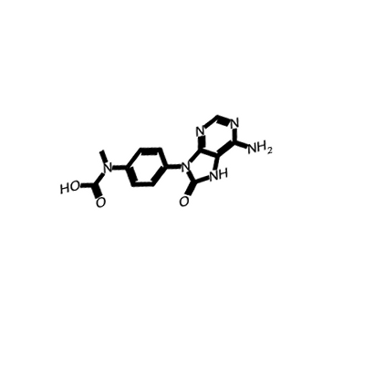 CN(C(=O)O)c1ccc(-n2c(=O)[nH]c3c(N)ncnc32)cc1